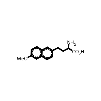 COc1ccc2cc(CCC(N)C(=O)O)ccc2c1